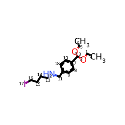 CCOC(OCC)c1ccc(CNCCCCI)cc1